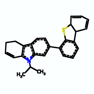 CC(C)n1c2c(c3ccc(-c4cccc5c4SC4C=CC=CC54)cc31)CCC=C2